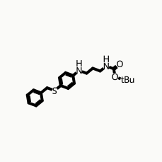 CC(C)(C)OC(=O)NCCCNc1ccc(SCc2ccccc2)cc1